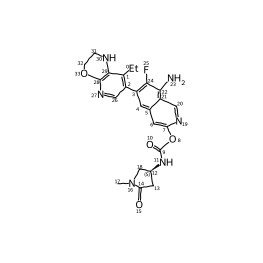 CCc1c(-c2cc3cc(OC(=O)N[C@H]4CC(=O)N(C)C4)ncc3c(N)c2F)cnc2c1NCCO2